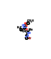 Cc1cccc(C)c1-c1cc(OC[C@@H](CC(C)(C)C)NCc2cn3cccc(Br)c3n2)nc(NS(=O)(=O)c2cccc(C(=O)O)c2)n1